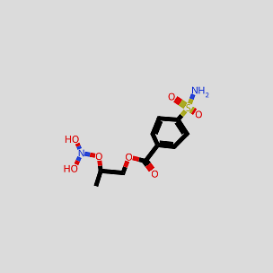 CC(COC(=O)c1ccc(S(N)(=O)=O)cc1)ON(O)O